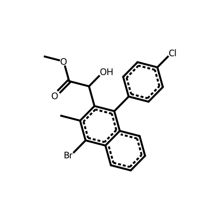 COC(=O)C(O)c1c(C)c(Br)c2ccccc2c1-c1ccc(Cl)cc1